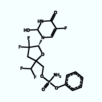 NP(=O)(OCC1(C(F)F)CC(F)(F)[C@H](N2C=C(F)C(=O)NC2O)O1)Oc1ccccc1